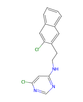 Clc1cc(NCCc2cc3ccccc3cc2Cl)ncn1